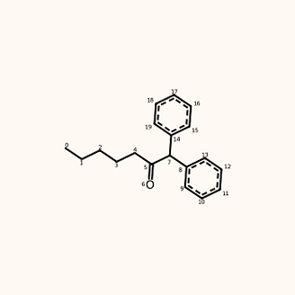 CCCCCC(=O)C(c1ccccc1)c1ccccc1